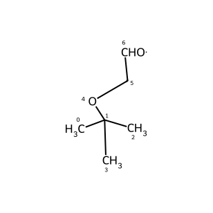 CC(C)(C)OC[C]=O